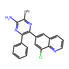 CCCc1nc(-c2cc(Cl)c3ncccc3c2)c(-c2ccccc2)nc1N